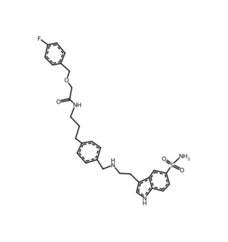 NS(=O)(=O)c1ccc2[nH]cc(CCNCc3ccc(CCCNC(=O)COCc4ccc(F)cc4)cc3)c2c1